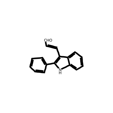 O=C/C=C/c1c(-c2ccccc2)[nH]c2ccccc12